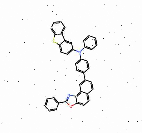 c1ccc(-c2nc3c(ccc4ccc(-c5ccc(N(c6ccccc6)c6ccc7sc8ccccc8c7c6)cc5)cc43)o2)cc1